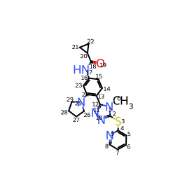 Cn1c(Sc2ccccn2)nnc1-c1ccc(NC(=O)C2CC2)cc1N1CCCC1